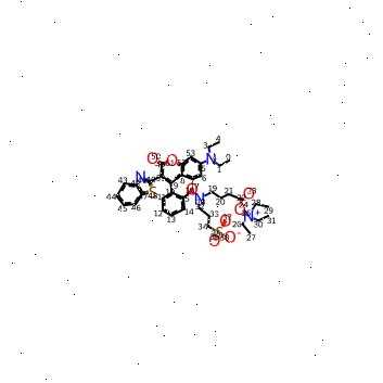 CCN(CC)c1ccc2c(-c3ccccc3C(=O)N(CCCC(=O)O[N+](CC)(CC)CC)CCCS(=O)(=O)[O-])c(-c3nc4ccccc4s3)c(=O)oc2c1